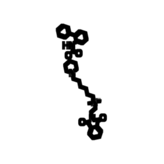 C[N+](C)(CCCCCCN1CCC(OC(=O)Nc2ccccc2-c2ccccc2)CC1)CCN1C(=O)c2ccccc2C1=O